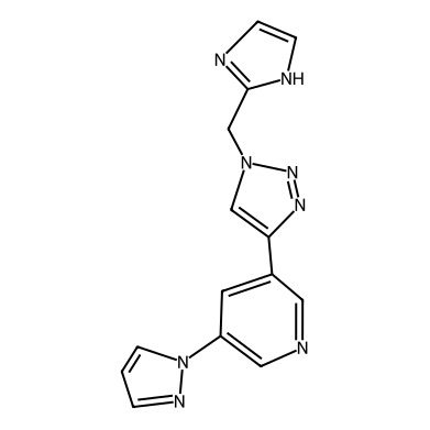 c1cnn(-c2cncc(-c3cn(Cc4ncc[nH]4)nn3)c2)c1